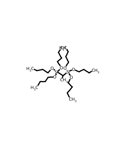 CCCCO[Si](OCCCC)(OCCCC)C(C)[Si](OCCCC)(OCCCC)OCCCC